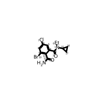 CCN(C(=O)c1cc(Cl)cc(Br)c1C(N)=O)C1CC1